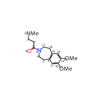 CNCCC(=O)N1CCc2cc(OC)c(OC)cc2CC1